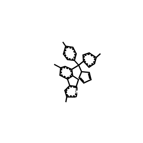 Cc1ccc(C(c2ccc(C)cc2)(c2cc(C)cc3c2Cc2ccc(C)cc2-3)C2C=CC=C2)cc1